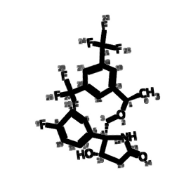 C[C@@H](OC[C@]1(c2ccc(F)cc2)NC(=O)C[C@@H]1O)c1cc(C(F)(F)F)cc(C(F)(F)F)c1